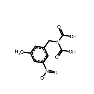 Cc1cc(CN(C(=O)O)C(=O)O)cc([N+](=O)[O-])c1